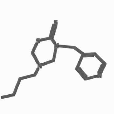 CCCCN1CSC(=S)N(Cc2ccncc2)C1